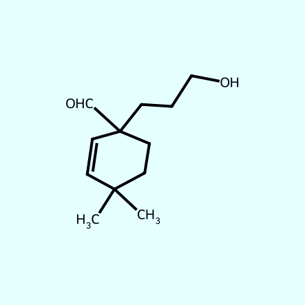 CC1(C)C=CC(C=O)(CCCO)CC1